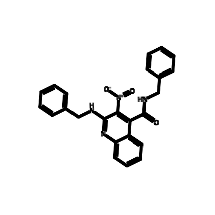 O=C(NCc1ccccc1)c1c([N+](=O)[O-])c(NCc2ccccc2)nc2ccccc12